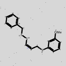 COc1cccc(SC/C=C\SSCc2ccccc2)c1